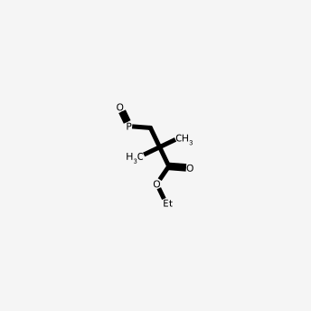 CCOC(=O)C(C)(C)CP=O